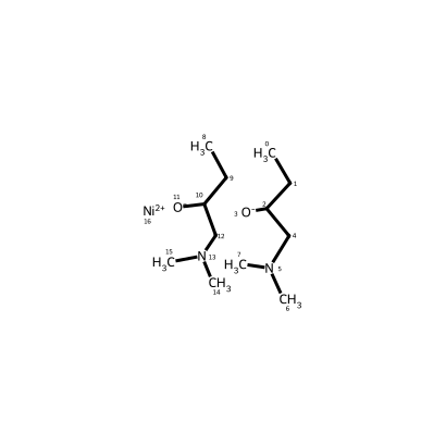 CCC([O-])CN(C)C.CCC([O-])CN(C)C.[Ni+2]